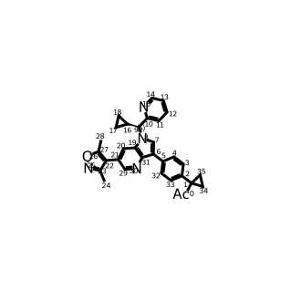 CC(=O)C1(c2ccc(-c3cn([C@H](c4ccccn4)C4CC4)c4cc(-c5c(C)noc5C)cnc34)cc2)CC1